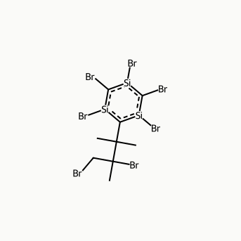 CC(Br)(CBr)C(C)(C)c1[si](Br)c(Br)[si](Br)c(Br)[si]1Br